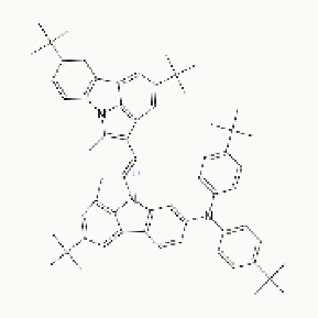 Cc1c(/C=C2\Cc3cc(C(C)(C)C)cc4c5ccc(N(c6ccc(C(C)(C)C)cc6)c6ccc(C(C)(C)C)cc6)cc5n2c34)c2cc(C(C)(C)C)cc3c4cc(C(C)(C)C)ccc4n1c23